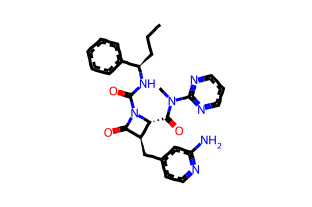 CCC[C@@H](NC(=O)N1C(=O)[C@H](Cc2ccnc(N)c2)[C@H]1C(=O)N(C)c1ncccn1)c1ccccc1